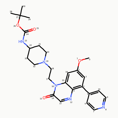 COc1cc(-c2ccncc2)c2ncc(=O)n(CCN3CCC(NC(=O)OC(C)(C)C)CC3)c2c1